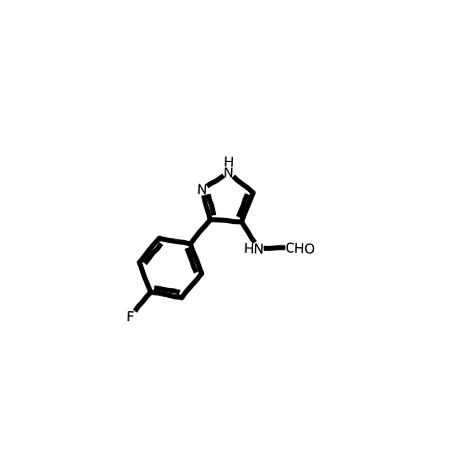 O=CNc1c[nH]nc1-c1ccc(F)cc1